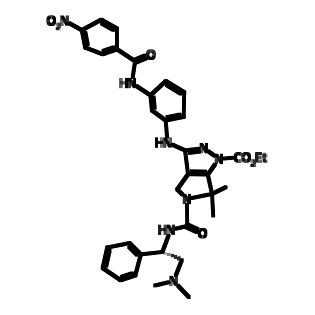 CCOC(=O)n1nc(Nc2cccc(NC(=O)c3ccc([N+](=O)[O-])cc3)c2)c2c1C(C)(C)N(C(=O)N[C@H](CN(C)C)c1ccccc1)C2